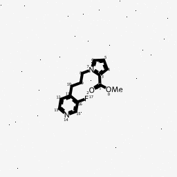 COC(=O)c1cccn1CCCc1ccncc1F